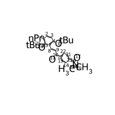 CCCc1ccc(OC(C)(C)C)c(/C=C/C(=O)c2ccc(C(=O)N(C)C)cc2)c1OC(C)(C)C